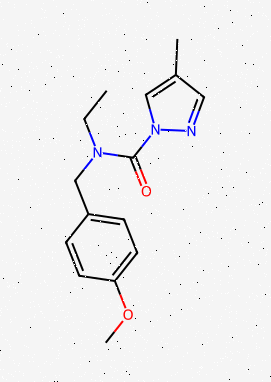 CCN(Cc1ccc(OC)cc1)C(=O)n1cc(C)cn1